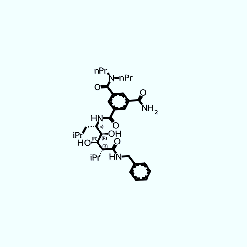 CCCN(CCC)C(=O)c1cc(C(N)=O)cc(C(=O)N[C@@H](CC(C)C)[C@@H](O)[C@H](O)[C@H](C(=O)NCc2ccccc2)C(C)C)c1